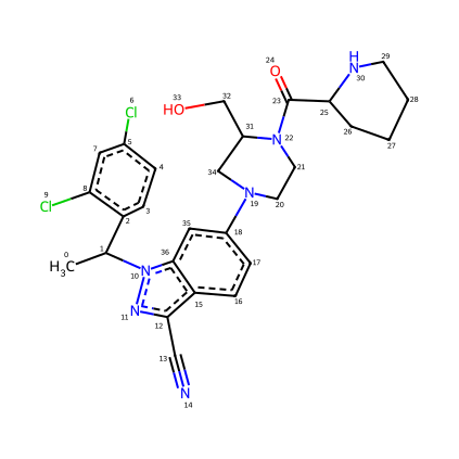 CC(c1ccc(Cl)cc1Cl)n1nc(C#N)c2ccc(N3CCN(C(=O)C4CCCCN4)C(CO)C3)cc21